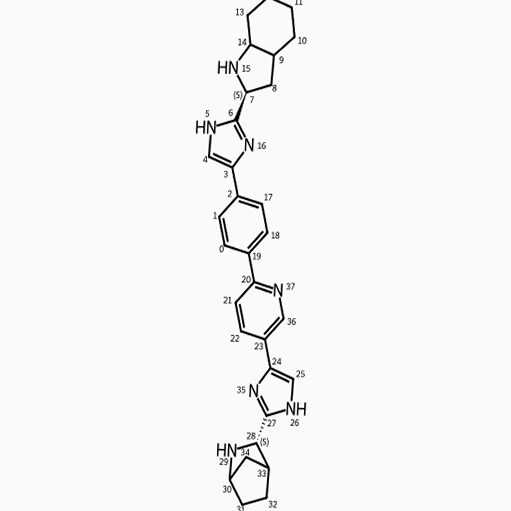 c1cc(-c2c[nH]c([C@@H]3CC4CCCCC4N3)n2)ccc1-c1ccc(-c2c[nH]c([C@H]3NC4CCC3C4)n2)cn1